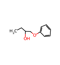 [CH2]CC(O)COc1ccccc1